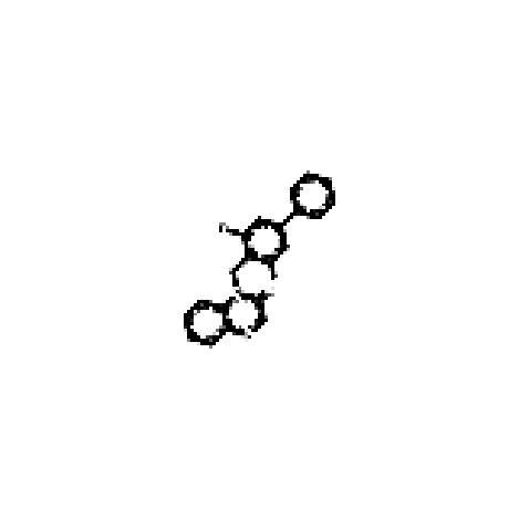 O=c1cnc2ccccc2n1Cc1c(F)cc(-c2ccccc2)cc1F